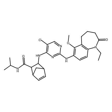 CCN1C(=O)CCCc2c1ccc(Nc1ncc(Cl)c(NC3C4C=CC(C4)C3C(=O)NC(C)C)n1)c2OC